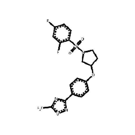 O=S(=O)(c1ccc(F)cc1F)N1CCC(Oc2ccc(-c3noc(C(F)(F)F)n3)cc2)C1